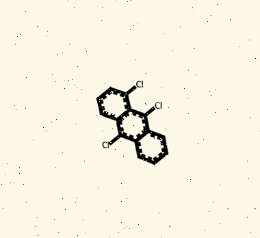 Clc1c2c[c]ccc2c(Cl)c2c(Cl)[c]ccc12